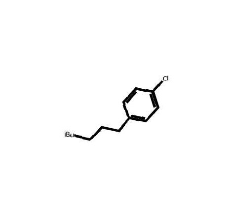 CCC(C)CCCc1ccc(Cl)cc1